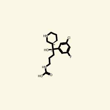 O=C(O)NCCC[C@@](O)(c1cc(F)cc(Cl)c1)[C@@H]1CCCNC1